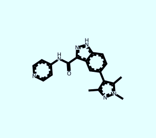 Cc1nn(C)c(C)c1-c1ccc2[nH]nc(C(=O)Nc3ccncc3)c2c1